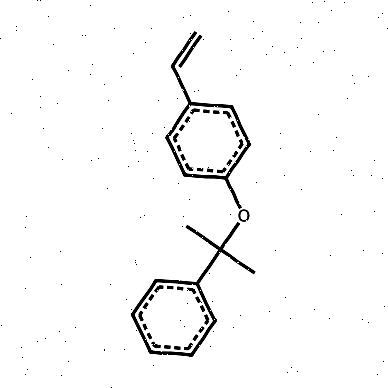 C=Cc1ccc(OC(C)(C)c2ccccc2)cc1